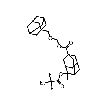 CCC(F)(F)C(=O)OC1(C)C2CC3CC1CC(C(=O)OCOCC14CC5CC(CC(C5)C1)C4)(C3)C2